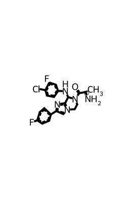 C[C@@H](N)C(=O)N1CCn2cc(-c3ccc(F)cc3)nc2C1Nc1ccc(Cl)c(F)c1